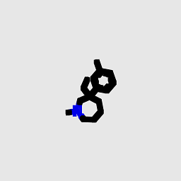 CCC1(c2cccc(C)c2)CCCCN(C)C1